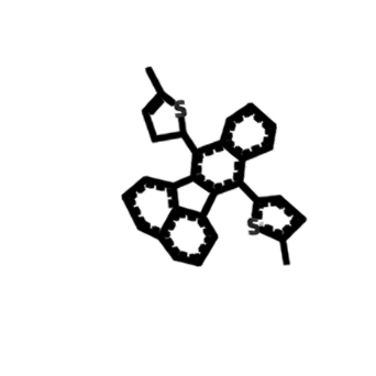 CC1=CCC(c2c3c(c(-c4ccc(C)s4)c4ccccc24)-c2cccc4cccc-3c24)S1